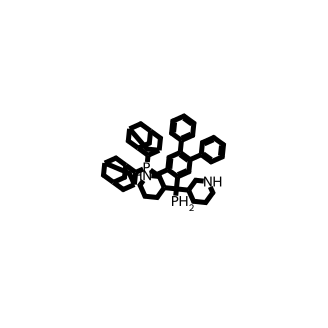 PC(c1cc(-c2ccccc2)c(-c2ccccc2)cc1CP(C1C2CC3CC(C2)CC1C3)C1C2CC3CC(C2)CC1C3)(C1CCCNC1)C1CCCNC1